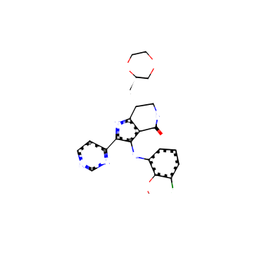 COc1c(Cl)cccc1Nc1c(-c2ccncn2)[nH]c2c1C(=O)NC[C@H]2C[C@@H]1COCCO1